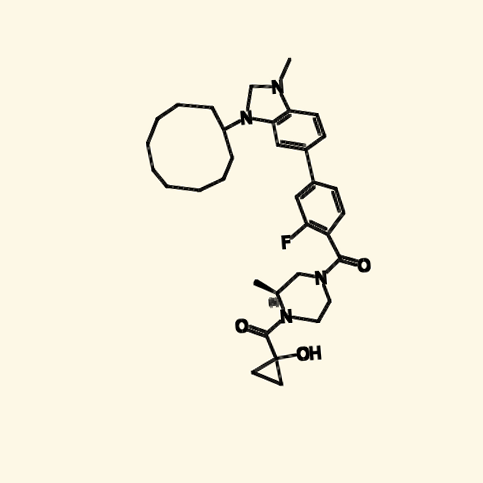 C[C@H]1CN(C(=O)c2ccc(-c3ccc4c(c3)N(C3CCCCCCCCC3)CN4C)cc2F)CCN1C(=O)C1(O)CC1